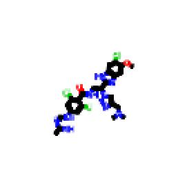 COc1cc2nc(C(CNC(=O)c3c(Cl)cc(N/C=N\C(C)=N)cc3Cl)n3cc(CN(C)C)nn3)[nH]c2cc1Cl